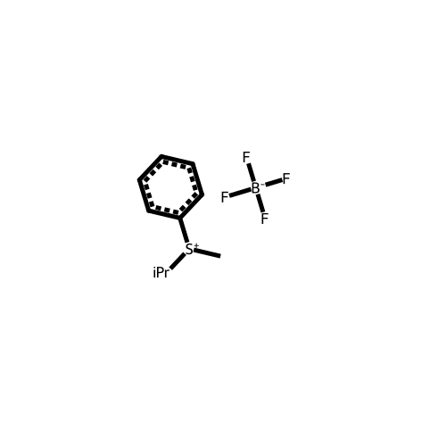 CC(C)[S+](C)c1ccccc1.F[B-](F)(F)F